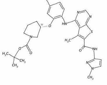 Cc1c(C(=O)Nc2ccn(C)n2)sc2ncnc(Nc3ccc(F)cc3O[C@H]3CCCN(C(=O)OC(C)(C)C)C3)c12